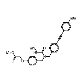 CCCCc1ccc(C#Cc2ccc(CN(Cc3ccc(OCC(=O)OC)cc3)C(=O)NCCC)cc2)cc1